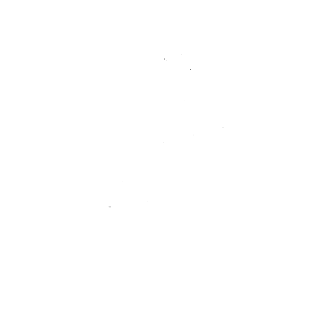 CC[C@H]1Cc2ccc(C(F)(F)F)cc2S(=O)(=O)N(Cc2cc(C(OCc3cn(CC)nn3)C(C)(C)C(N)=O)ccc2C)C1